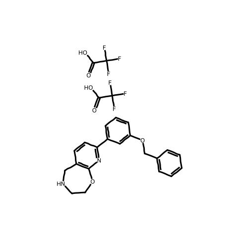 O=C(O)C(F)(F)F.O=C(O)C(F)(F)F.c1ccc(COc2cccc(-c3ccc4c(n3)OCCNC4)c2)cc1